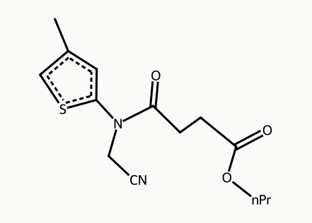 CCCOC(=O)CCC(=O)N(CC#N)c1cc(C)cs1